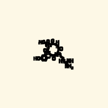 N=C(N)NCCC[C@@H]1NC(=O)[C@H](Cc2ccc(O)cc2)NC(=O)[C@H](CC(=O)O)NC(=O)CNC1=O